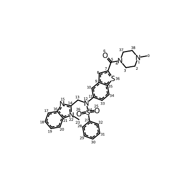 CN1CCN(C(=O)c2cc3cc(N(Cc4nc5ccccc5n4C)S(=O)(=O)c4ccccc4)ccc3s2)CC1